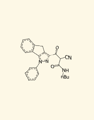 CCCCNC(=O)C(C#N)C(=O)c1nn(-c2ccccc2)c2c1Cc1ccccc1-2